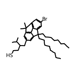 CCCCCCCCC1(CCCCCCCC)c2cc(Br)cc3c2-c2c(cc(CC(CCS)C(C)C)cc21)C3(C)C